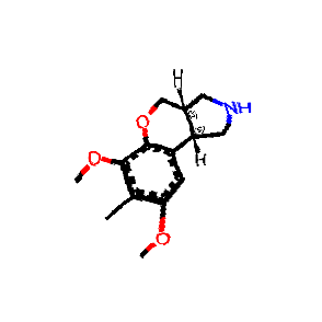 COc1cc2c(c(OC)c1C)OC[C@@H]1CNC[C@H]21